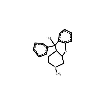 CN1CCC2C(C1)Sc1ccccc1C2(O)c1ccccc1